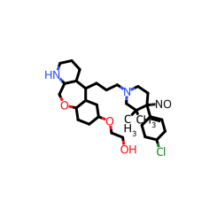 CC1(C)CN(CCCC2C3CCCNC3COC3CCC(OCCO)CC32)CCC1(N=O)C1=CCC(Cl)CC1